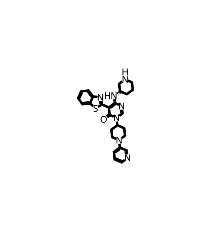 O=c1c(-c2nc3ccccc3s2)c(N[C@@H]2CCCNC2)ncn1C1CCN(c2cccnc2)CC1